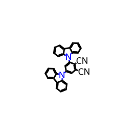 N#Cc1cc(-n2c3ccccc3c3ccccc32)cc(-n2c3ccccc3c3ccccc32)c1C#N